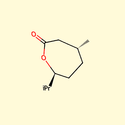 CC(C)[C@@H]1CC[C@@H](C)CC(=O)O1